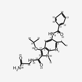 CCc1nc2c(cc1NC(=O)c1ccccc1)c(OC(C)C)c(C(=O)NCC(N)=O)n2C